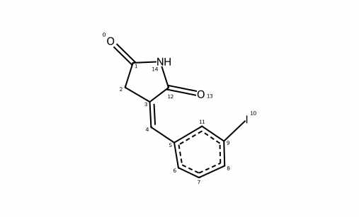 O=C1CC(=Cc2cccc(I)c2)C(=O)N1